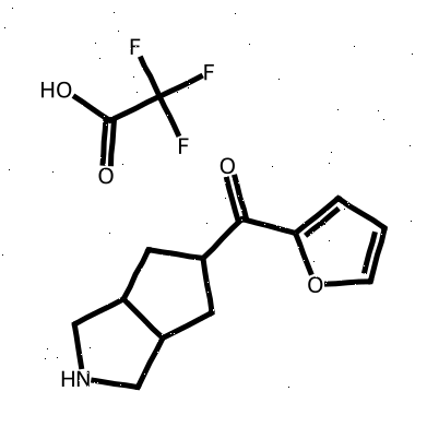 O=C(O)C(F)(F)F.O=C(c1ccco1)C1CC2CNCC2C1